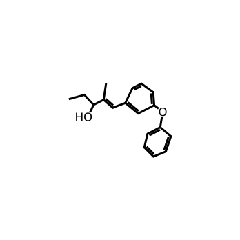 CCC(O)/C(C)=C/c1cccc(Oc2ccccc2)c1